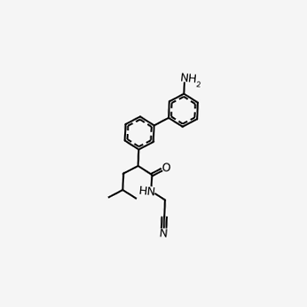 CC(C)CC(C(=O)NCC#N)c1cccc(-c2cccc(N)c2)c1